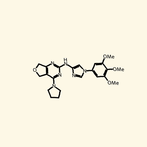 COc1cc(-n2cnc(Nc3nc4c(c(N5CCCC5)n3)COC4)c2)cc(OC)c1OC